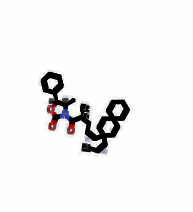 CC/C=C\C1(/C=C\C[C@@H](CC)C(=O)N2C(=O)O[C@@H](c3ccccc3)[C@H]2C)C=CC2(C=CCC=C2)C=C1